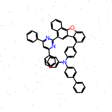 c1ccc(-c2ccc(N(c3ccccc3)c3ccc(-c4cccc5oc6c7ccccc7c(-c7nc(-c8ccccc8)cc(-c8ccccc8)n7)cc6c45)cc3)cc2)cc1